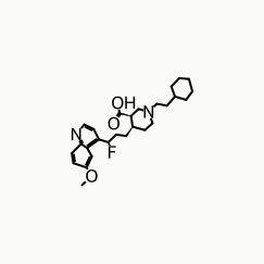 COc1ccc2nccc([C@H](F)CC[C@@H]3CCN(CCC4CCCCC4)C[C@@H]3C(=O)O)c2c1